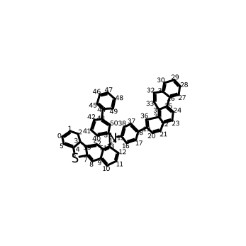 C1=CCC2C(=C1)Sc1cc3cccc(N(c4ccc(-c5ccc6ccc7c8ccccc8ccc7c6c5)cc4)c4cccc(-c5ccccc5)c4)c3cc12